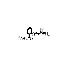 COC(=O)c1ccccc1OCCNP